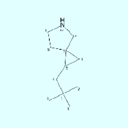 CC(C)(C)CC1CC12CCNC2